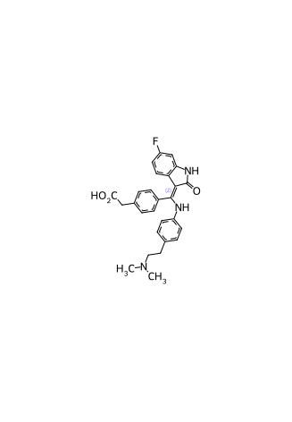 CN(C)CCc1ccc(N/C(=C2\C(=O)Nc3cc(F)ccc32)c2ccc(CC(=O)O)cc2)cc1